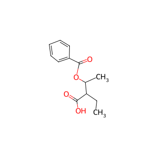 CCC(C(=O)O)C(C)OC(=O)c1ccccc1